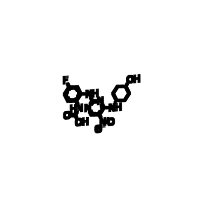 O=C(O)Nc1ccc(F)cc1Nc1ncc([N+](=O)[O-])c(N[C@H]2CC[C@H](O)CC2)n1